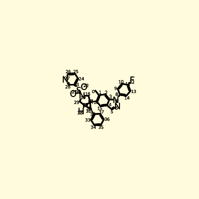 Cc1cc2c(cnn2-c2ccc(F)cc2)cc1[C@]12CN(S(=O)(=O)c3cccnc3)C[C@H]1[C@@H]2c1ccccc1